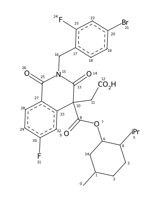 CC1CCC(C(C)C)C(OC(=O)C2(CC(=O)O)C(=O)N(Cc3ccc(Br)cc3F)C(=O)c3ccc(F)cc32)C1